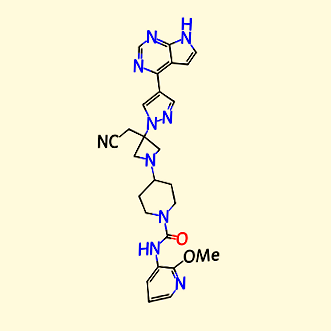 COc1ncccc1NC(=O)N1CCC(N2CC(CC#N)(n3cc(-c4ncnc5[nH]ccc45)cn3)C2)CC1